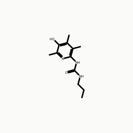 CCCNC(=O)Nc1nc(C)c(O)c(C)c1C